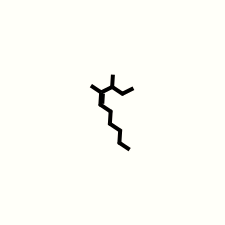 CCCCCC=C(C)C(C)CC